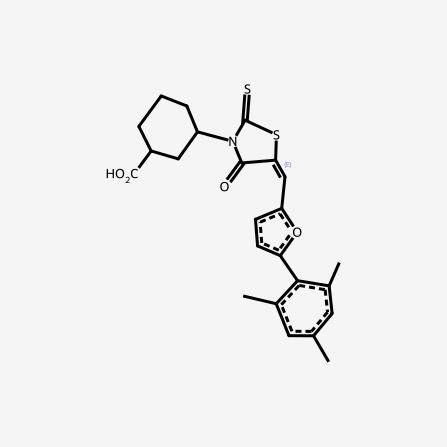 Cc1cc(C)c(-c2ccc(/C=C3/SC(=S)N(C4CCCC(C(=O)O)C4)C3=O)o2)c(C)c1